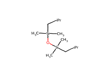 CC(C)C[Si](C)(C)O[Si](C)(C)CC(C)C